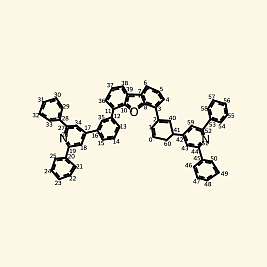 C1=CC(c2cccc3c2oc2c(-c4cccc(-c5cc(-c6ccccc6)nc(-c6ccccc6)c5)c4)cccc23)=CC(c2cc(-c3ccccc3)nc(-c3ccccc3)c2)C1